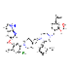 COc1ccc(CN2CCN(C3CC4(CCN(c5cc(Oc6cnc7[nH]ccc7c6)c(C(C)=O)cc5F)CC4)C3)[C@H](c3ccccc3C(C)C)C2)c2c1OCO2